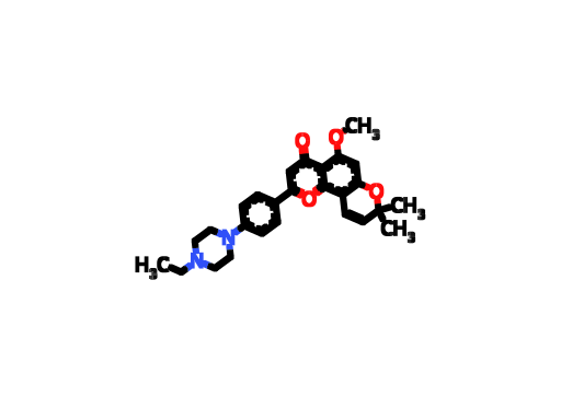 CCN1CCN(c2ccc(-c3cc(=O)c4c(OC)cc5c(c4o3)C=CC(C)(C)O5)cc2)CC1